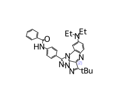 CCN(CC)c1ccc(/N=C2/C(C(C)(C)C)=Nn3nc(-c4ccc(NC(=O)c5ccccc5)cc4)nc32)c(C)c1